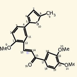 COc1ccc(-c2ccc(C)s2)cc1/C=C/C(=O)c1ccc(OC)c(OC)c1